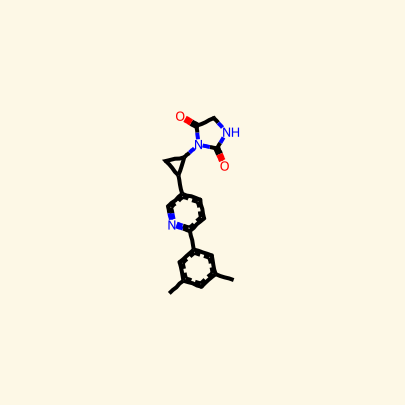 Cc1cc(C)cc(-c2ccc(C3CC3N3C(=O)CNC3=O)cn2)c1